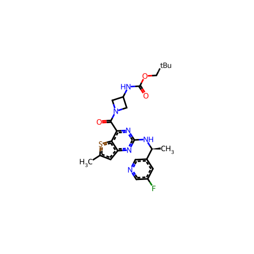 Cc1cc2nc(N[C@@H](C)c3cncc(F)c3)nc(C(=O)N3CC(NC(=O)OCC(C)(C)C)C3)c2s1